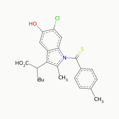 CCC(C)C(C(=O)O)c1c(C)n(C(=S)c2ccc(C)cc2)c2cc(Cl)c(O)cc12